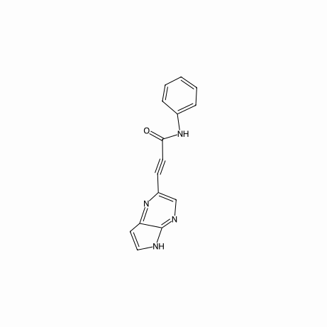 O=C(C#Cc1cnc2[nH]ccc2n1)Nc1ccccc1